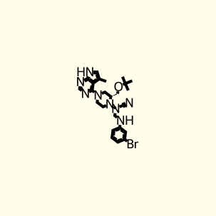 Cc1c[nH]c2ncnc(N3CCN(N(C#N)CNc4cccc(Br)c4)[C@@H](COC(C)(C)C)C3)c12